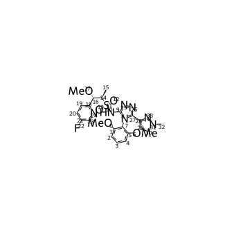 COc1cccc(OC)c1-n1c(NS(=O)(=O)[C@H](C)[C@@H](OC)c2ccc(F)cn2)nnc1-c1ccn(C)n1